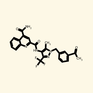 CC(=O)c1cccc(Cn2nc(C(F)(F)F)c(NC(=O)c3cc(C(N)=O)c4ccccc4n3)c2C)c1